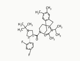 CC(=O)N(C(C)C)[C@@H]1Cc2cc(C)c(C)cc2C12CCN(C(=O)[C@@H]1CN(C(C)(C)C)C[C@H]1c1ccc(F)cc1F)CC2